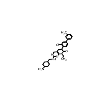 CCn1c(=O)c(-c2ccc(-c3cccc(C)n3)cc2Cl)cc2cnc(NCC3CCC(N)CC3)nc21